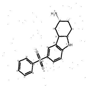 N[C@@H]1CCC2Nc3ccc(S(=O)(=O)c4ccccc4)cc3C2C1